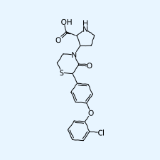 O=C(O)[C@H]1NCCC1N1CCSC(c2ccc(Oc3ccccc3Cl)cc2)C1=O